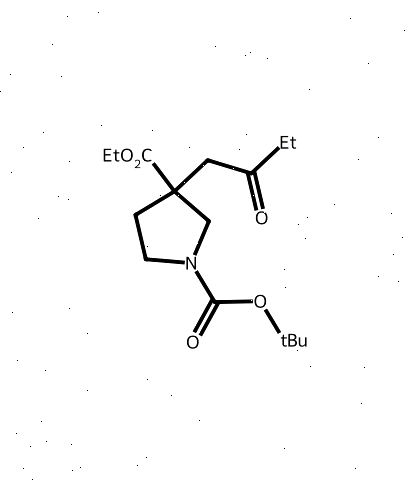 CCOC(=O)C1(CC(=O)CC)CCN(C(=O)OC(C)(C)C)C1